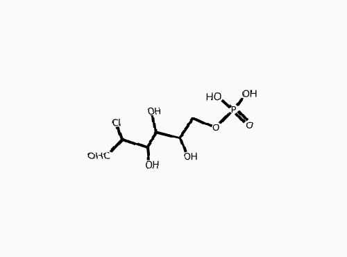 O=CC(Cl)C(O)C(O)C(O)COP(=O)(O)O